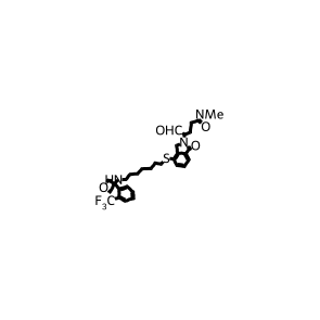 CNC(=O)CCC(C=O)N1Cc2c(SCCCCCCCNC3(c4ccccc4C(F)(F)F)COC3)cccc2C1=O